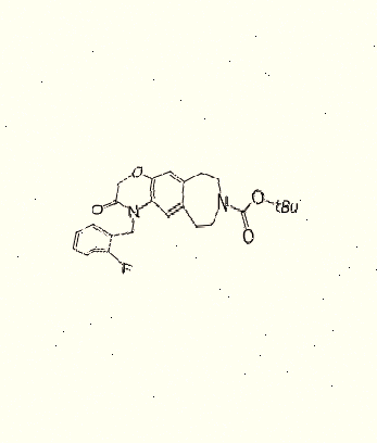 CC(C)(C)OC(=O)N1CCc2cc3c(cc2CC1)N(Cc1ccccc1F)C(=O)CO3